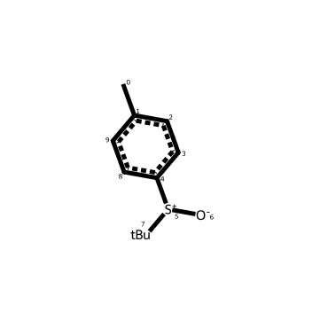 Cc1ccc([S+]([O-])C(C)(C)C)cc1